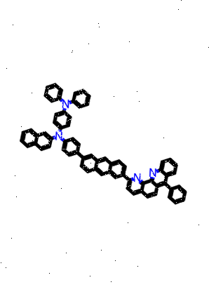 c1ccc(-c2c3ccccc3nc3c2ccc2ccc(-c4ccc5cc6cc(-c7ccc(N(c8ccc(N(c9ccccc9)c9ccccc9)cc8)c8ccc9ccccc9c8)cc7)ccc6cc5c4)nc23)cc1